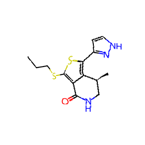 CCCSc1sc(-c2cc[nH]n2)c2c1C(=O)NC[C@@H]2C